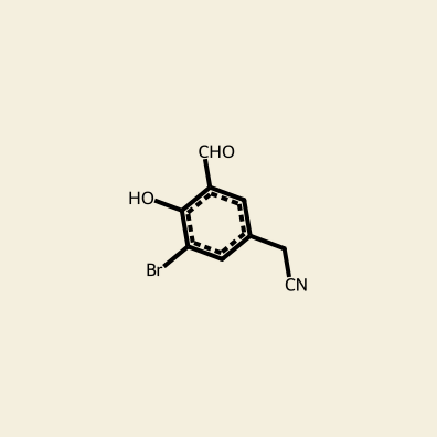 N#CCc1cc(Br)c(O)c(C=O)c1